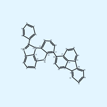 c1ccc(-c2nc3cccc4c3n2-c2cccc(-c3ccc5c6c(cccc36)-c3ccccc3-5)c2O4)cc1